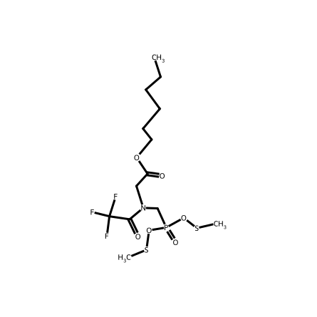 CCCCCCOC(=O)CN(CP(=O)(OSC)OSC)C(=O)C(F)(F)F